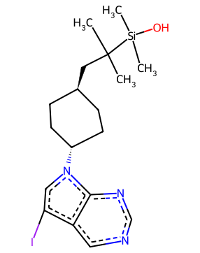 CC(C)(C[C@H]1CC[C@H](n2cc(I)c3cncnc32)CC1)[Si](C)(C)O